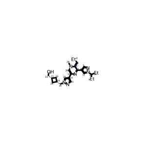 CC/C=C1/C(c2cnn(C(CC)CC)c2)=NC(c2cnn(C[C@H]3C[C@@H](CO)C3)c2)=CN1C